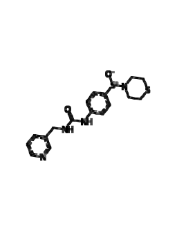 O=C(NCc1cccnc1)Nc1ccc([S+]([O-])N2CCSCC2)cc1